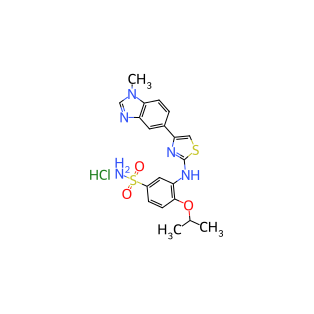 CC(C)Oc1ccc(S(N)(=O)=O)cc1Nc1nc(-c2ccc3c(c2)ncn3C)cs1.Cl